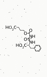 O=C(O)CCCOC(=O)N[S+]([O-])NC(Cc1ccccc1)C(=O)O